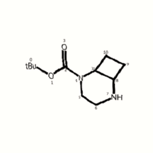 CC(C)(C)OC(=O)N1CCNC2CCC21